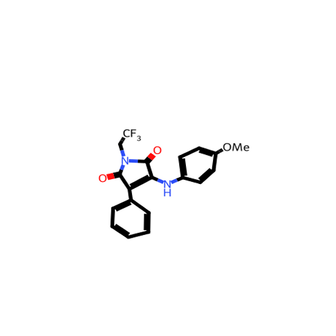 COc1ccc(NC2=C(c3ccccc3)C(=O)N(CC(F)(F)F)C2=O)cc1